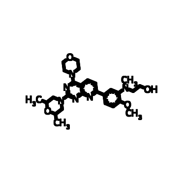 COc1ccc(-c2ccc3c(N4CCOCC4)nc(N4CC(C)OC(C)C4)nc3n2)cc1N(C)CCO